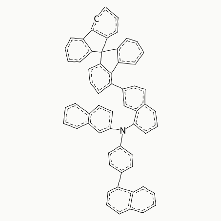 c1ccc2c(c1)-c1ccccc1C21c2ccccc2-c2c(-c3ccc4cccc(N(c5ccc(-c6cccc7ccccc67)cc5)c5ccc6ccccc6c5)c4c3)cccc21